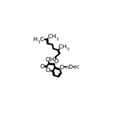 CCCCCCCCCCOc1cccc2oc(=O)c(O)c(OCC=C(C)CCC=C(C)C)c12